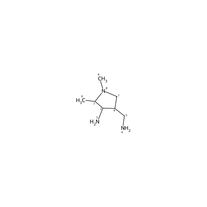 CC1C(N)C(CN)CN1C